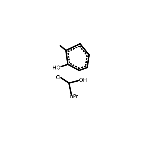 CCCC(O)Cl.Cc1ccccc1O